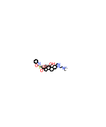 [C-]#[N+]CCn1ncc2c1C=C1CCC3C([C@@H](O)CC4(C)C3CC[C@]4(O)C(=O)CSc3nc4ccccc4o3)C1(C)C2